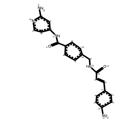 Nc1cc(NC(=O)c2ccc(CNC(=O)C=Cc3ccc([N+](=O)[O-])cc3)cc2)ccn1